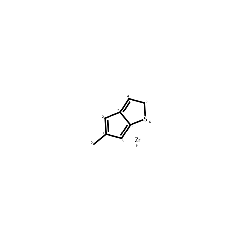 CC1=CC2=CCSC2=C1.[Zr]